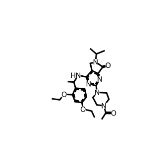 CCOc1ccc(C(C)Nc2nc(N3CCN(C(C)=O)CC3)nc3c2CN(C(C)C)C3=O)c(OCC)c1